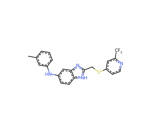 Cc1cccc(Nc2ccc3[nH]c(CSc4ccnc(C(F)(F)F)c4)nc3c2)c1